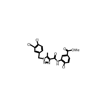 COC(=O)c1ccc(Cl)c(NC(=O)c2nnn(Cc3ccc(Cl)c(Cl)c3)c2C)c1